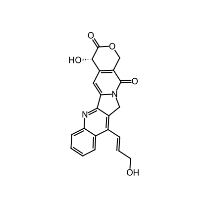 O=C1OCc2c(cc3n(c2=O)Cc2c-3nc3ccccc3c2/C=C/CO)[C@@H]1O